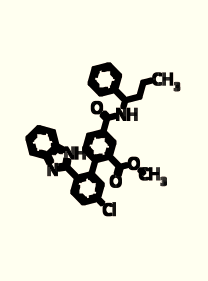 CCCC(NC(=O)c1ccc(-c2cc(Cl)ccc2-c2nc3ccccc3[nH]2)c(C(=O)OC)c1)c1ccccc1